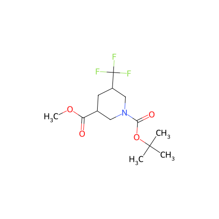 COC(=O)C1CC(C(F)(F)F)CN(C(=O)OC(C)(C)C)C1